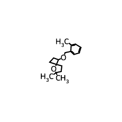 Cc1ccccc1COC1CCC12CCC(C)(C)O2